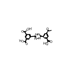 CC(=O)c1cc(C(=O)O)cc(-c2nnc(-c3cc(C(=O)O)cc(C(=O)O)c3)nn2)c1